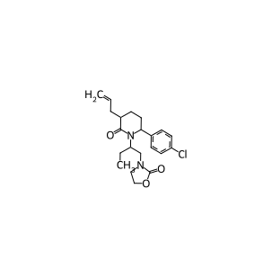 C=CCC1CCC(c2ccc(Cl)cc2)N(C(CC)CN2CCOC2=O)C1=O